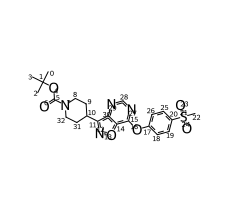 CC(C)(C)OC(=O)N1CCC(c2noc3c(Oc4ccc(S(C)(=O)=O)cc4)ncnc23)CC1